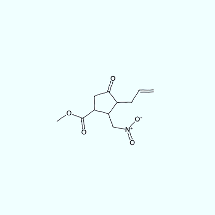 C=CCC1C(=O)CC(C(=O)OC)C1C[N+](=O)[O-]